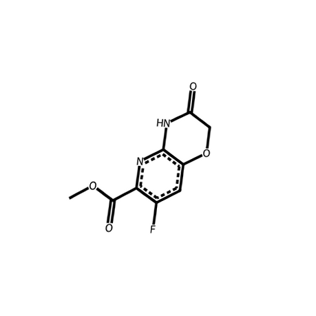 COC(=O)c1nc2c(cc1F)OCC(=O)N2